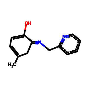 CC1=CC=C(O)C(=NCc2ccccn2)C1